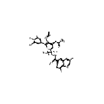 CCOc1c(CC(N)=O)cc([C@@](O)(CNC(=O)c2cc(Cl)c3ncc(C)cc3c2)C(F)(F)F)nc1-c1cc(Cl)c(F)c(Cl)c1